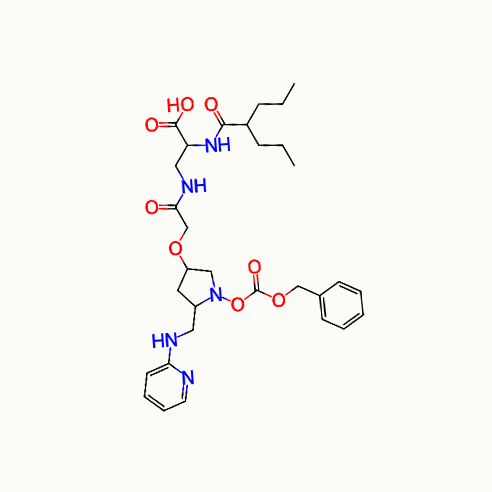 CCCC(CCC)C(=O)NC(CNC(=O)COC1CC(CNc2ccccn2)N(OC(=O)OCc2ccccc2)C1)C(=O)O